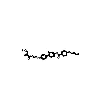 C=C(CO)C(=O)OCCOc1ccc(-c2ccc(OC(=O)C3CCC(CCCCC)CC3)cc2F)cc1